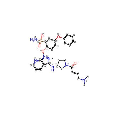 CN(C)CC=CC(=O)N1CC[C@@H](Nc2nn(Oc3ccc(Oc4ccccc4)cc3S(N)(=O)=O)c3ncccc23)C1